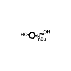 CCCCN(CCO)C1CCC(O)CC1